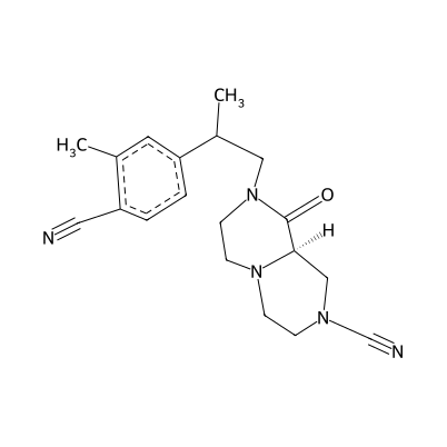 Cc1cc(C(C)CN2CCN3CCN(C#N)C[C@@H]3C2=O)ccc1C#N